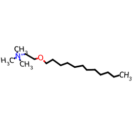 CCCCCCCCCCCCOCC[N+](C)(C)C